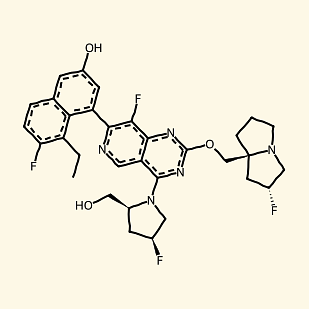 CCc1c(F)ccc2cc(O)cc(-c3ncc4c(N5C[C@@H](F)C[C@H]5CO)nc(OC[C@@]56CCCN5C[C@H](F)C6)nc4c3F)c12